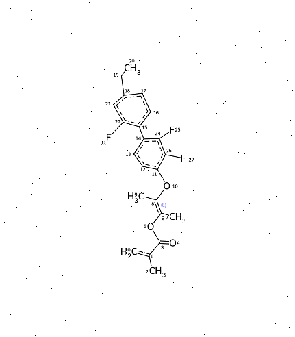 C=C(C)C(=O)O/C(C)=C(\C)Oc1ccc(-c2ccc(CC)cc2F)c(F)c1F